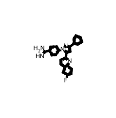 N=C(N)c1ccc(-n2nc(-c3ccccc3)cc2-c2ccc3cc(F)ccc3n2)cc1